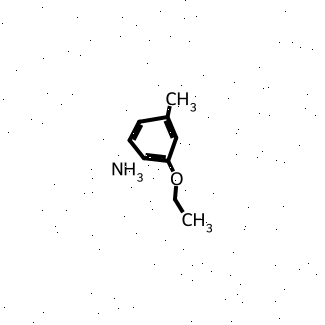 CCOc1cccc(C)c1.N